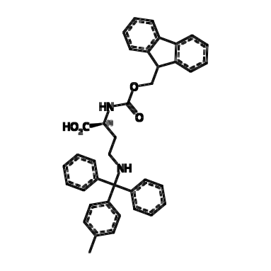 Cc1ccc(C(NCC[C@H](NC(=O)OCC2c3ccccc3-c3ccccc32)C(=O)O)(c2ccccc2)c2ccccc2)cc1